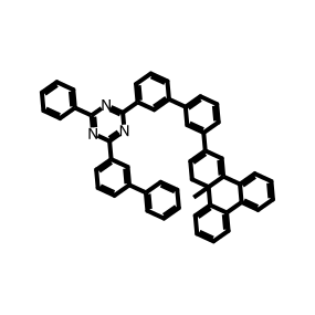 CC12CC=C(c3cccc(-c4cccc(-c5nc(-c6ccccc6)nc(-c6cccc(-c7ccccc7)c6)n5)c4)c3)C=C1c1ccccc1-c1ccccc12